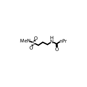 CCCC(=O)NCCCS(=O)(=O)NC